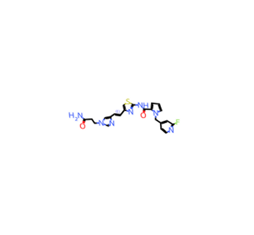 NC(=O)CCn1cnc(/C=C/c2csc(NC(=O)c3cccn3Cc3ccnc(F)c3)n2)c1